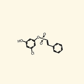 O=S(=O)(C=Cc1ccccc1)Oc1cc(O)cc(Cl)c1